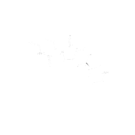 O=C1CC[C@H](N2Cc3cc([C@@H]4CCCNC4)ccc3C2=O)C(=O)N1